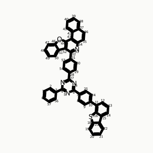 c1ccc(-c2nc(-c3ccc(-c4cccc5c4sc4ccccc45)cc3)nc(-c3ccc(-c4nc5ccc6ccccc6c5c5oc6ccccc6c45)cc3)n2)cc1